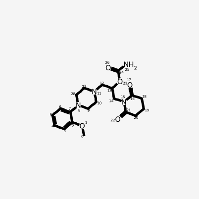 COc1ccccc1N1CCN(CC(CN2C(=O)CCCC2=O)OC(N)=O)CC1